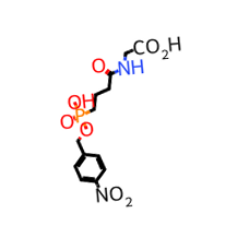 O=C(O)CNC(=O)CCCP(=O)(O)OCc1ccc([N+](=O)[O-])cc1